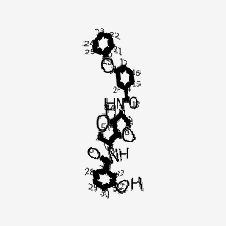 O=C(N[C@H]1CO[C@H]2C1OC[C@H]2NC(=O)c1cccc(Oc2ccccc2)c1)c1cccc(O)c1